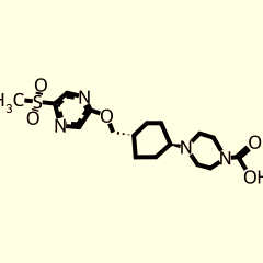 CS(=O)(=O)c1cnc(OC[C@H]2CC[C@H](N3CCN(C(=O)O)CC3)CC2)cn1